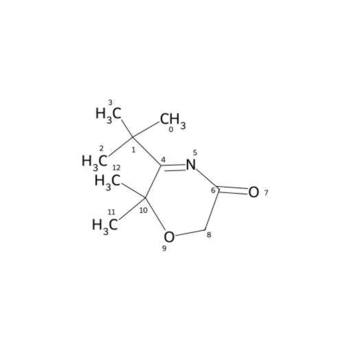 CC(C)(C)C1=NC(=O)COC1(C)C